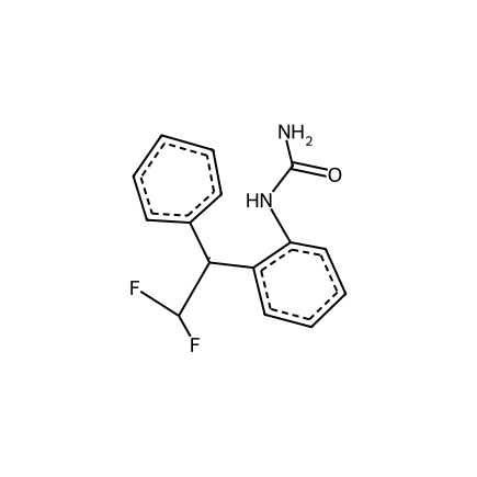 NC(=O)Nc1ccccc1[C](c1ccccc1)C(F)F